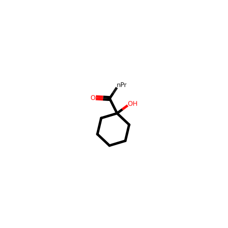 CCCC(=O)C1(O)CCCCC1